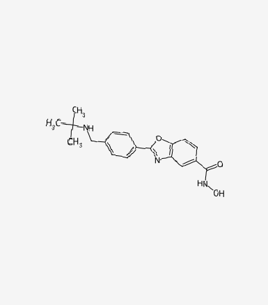 CC(C)(C)NCc1ccc(-c2nc3cc(C(=O)NO)ccc3o2)cc1